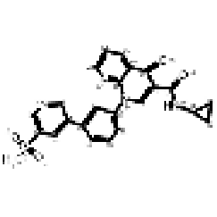 CS(=O)(=O)c1cncc(-c2cccc(-n3cc(C(=O)NC4CC4)c(=O)c4cccnc43)c2)c1